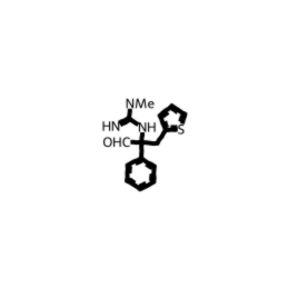 CNC(=N)NC(C=O)(Cc1cccs1)c1ccccc1